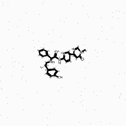 C[C@H](CNC(C(=O)Nc1ccc(-c2cc(=O)n(C)cn2)cn1)c1ccccc1)c1ccc(C#N)cc1